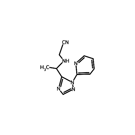 CC(NCC#N)c1ncnn1-c1ccccn1